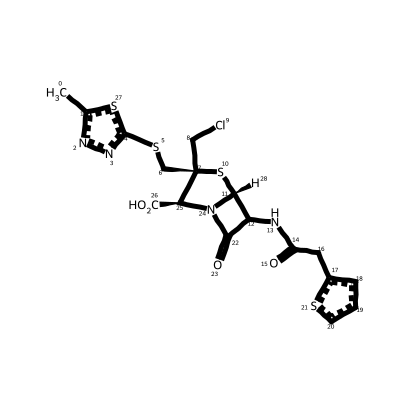 Cc1nnc(SC[C@@]2(CCl)S[C@@H]3C(NC(=O)Cc4cccs4)C(=O)N3[C@H]2C(=O)O)s1